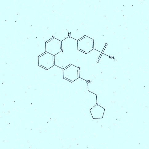 NS(=O)(=O)c1ccc(Nc2ncc3cccc(-c4ccc(NCCN5CCCC5)nc4)c3n2)cc1